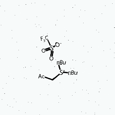 CCCC[S+](CCCC)CC(C)=O.O=S(=O)([O-])C(F)(F)F